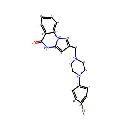 O=c1[nH]c2cc(CN3CCN(c4ccc(Cl)cc4)CC3)cn2c2ccccc12